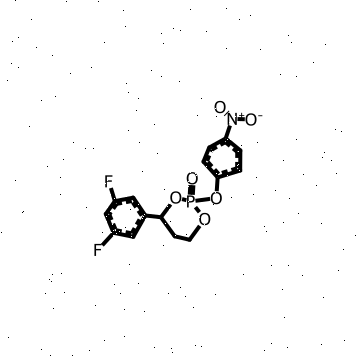 O=[N+]([O-])c1ccc(OP2(=O)OCCC(c3cc(F)cc(F)c3)O2)cc1